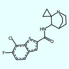 O=C(NC1C2CCN(CC2)C12CC2)c1cc2ccc(F)c(Cl)c2s1